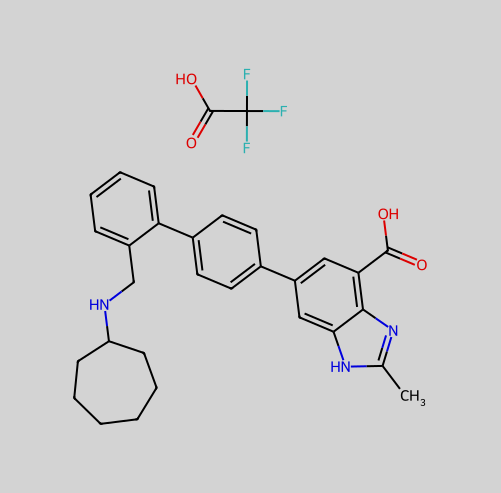 Cc1nc2c(C(=O)O)cc(-c3ccc(-c4ccccc4CNC4CCCCCC4)cc3)cc2[nH]1.O=C(O)C(F)(F)F